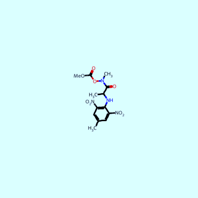 COC(=O)ON(C)C(=O)C(C)Nc1c([N+](=O)[O-])cc(C)cc1[N+](=O)[O-]